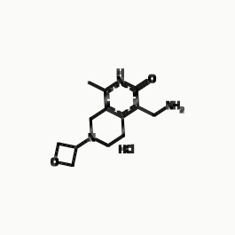 Cc1[nH]c(=O)c(CN)c2c1CN(C1COC1)CC2.Cl